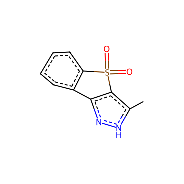 Cc1[nH]nc2c1S(=O)(=O)c1ccccc1-2